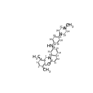 Cc1ccc(C)c(Cn2c(=O)ccc3ccc(Nc4ccc(N5CCN(C)CC5)cc4)cc32)c1